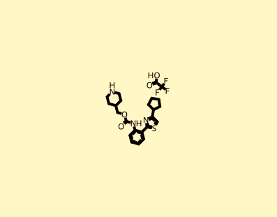 O=C(Nc1ccccc1-c1nc(C2CCCC2)cs1)OCC1CCNCC1.O=C(O)C(F)(F)F